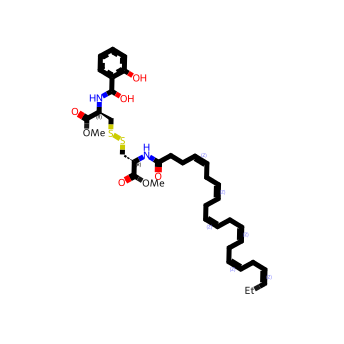 CC/C=C\C/C=C\C/C=C\C/C=C\C/C=C\C/C=C\CCC(=O)N[C@@H](CSSC[C@H](NC(O)c1ccccc1O)C(=O)OC)C(=O)OC